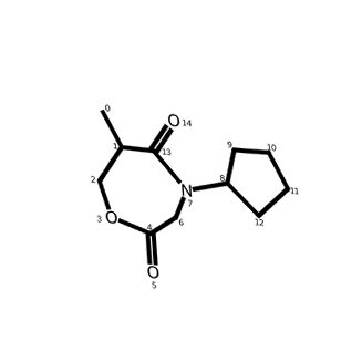 CC1COC(=O)CN(C2CCCC2)C1=O